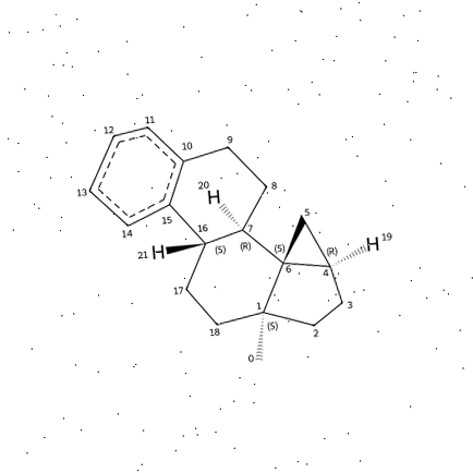 C[C@@]12CC[C@@H]3C[C@@]31[C@@H]1CCc3ccccc3[C@H]1CC2